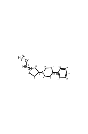 COBN1CCC(N2CCC(c3ccccc3)CC2)C1